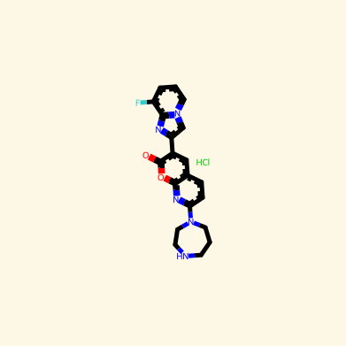 Cl.O=c1oc2nc(N3CCCNCC3)ccc2cc1-c1cn2cccc(F)c2n1